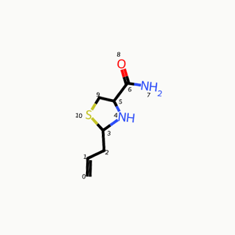 C=CCC1NC(C(N)=O)CS1